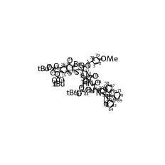 COc1ccc(COC(=O)C2(CSc3sc4cc(OC(=O)OC(C)(C)C)c(OC(=O)OC(C)(C)C)cc4c(=O)c3Br)CS[C@@H]3C(NC(=O)C(=NOCC(=O)OC(C)(C)C)c4csc(NC(c5ccccc5)(c5ccccc5)c5ccccc5)n4)C(=O)N3C2)cc1